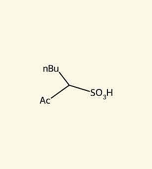 CCCCC(C(C)=O)S(=O)(=O)O